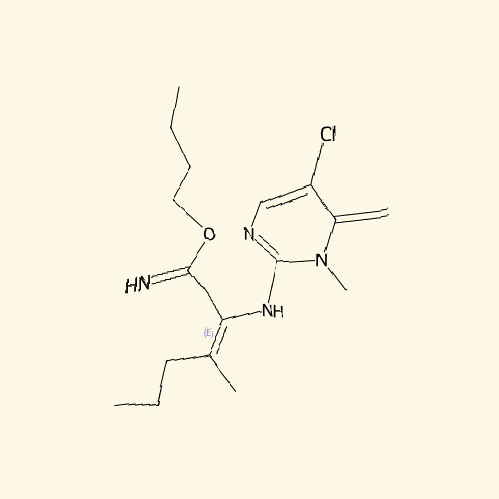 C=C1C(Cl)=CN=C(N/C(C(=N)OCCCC)=C(\C)CCC)N1C